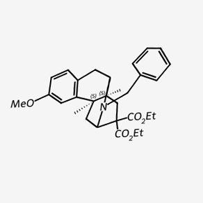 CCOC(=O)C1(C(=O)OCC)C[C@]2(C)C3Cc4ccc(OC)cc4[C@]2(C)CC1N3Cc1ccccc1